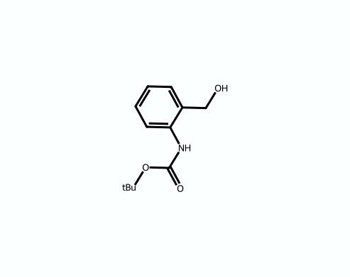 CC(C)(C)OC(=O)Nc1ccccc1CO